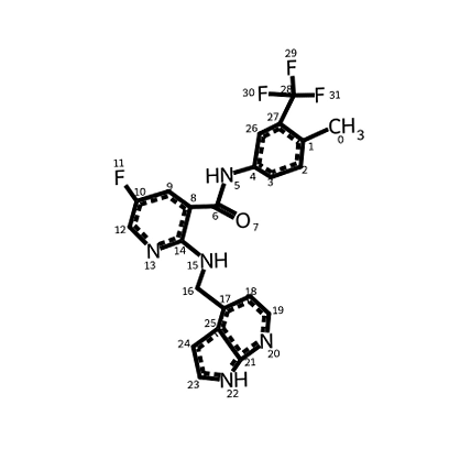 Cc1ccc(NC(=O)c2cc(F)cnc2NCc2ccnc3[nH]ccc23)cc1C(F)(F)F